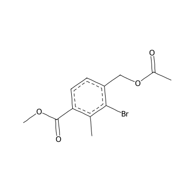 COC(=O)c1ccc(COC(C)=O)c(Br)c1C